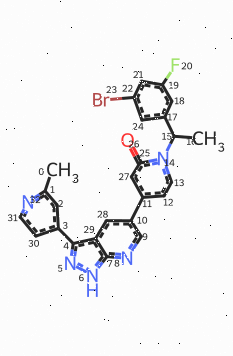 Cc1cc(-c2n[nH]c3ncc(-c4ccn(C(C)c5cc(F)cc(Br)c5)c(=O)c4)cc23)ccn1